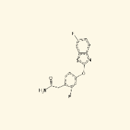 NC(=O)Cc1ccc(Oc2nc3ccc(F)cc3s2)cc1F